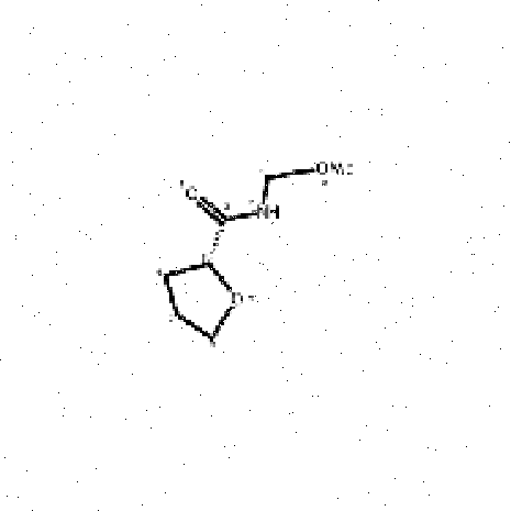 COCNC(=O)[C@H]1CCCO1